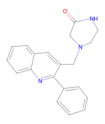 O=C1CN(Cc2cc3ccccc3nc2-c2ccccc2)CCN1